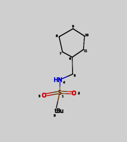 CC(C)(C)S(=O)(=O)NCC1CCCCC1